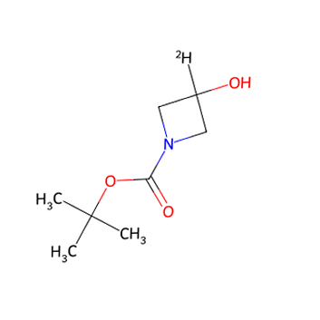 [2H]C1(O)CN(C(=O)OC(C)(C)C)C1